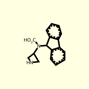 O=C(O)N(C1CNC1)C1c2ccccc2-c2ccccc21